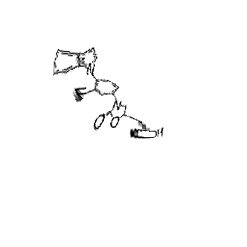 O=C1OC(CO)CN1c1ccc(-n2ccc3ccccc32)c(F)c1